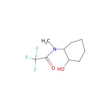 CN(C(=O)C(F)(F)F)C1CCCCC1O